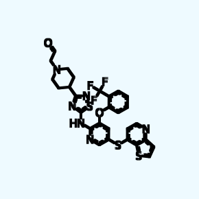 O=CCN1CCC(c2nsc(Nc3ncc(Sc4ccnc5ccsc45)cc3Oc3ccccc3C(F)(F)F)n2)CC1